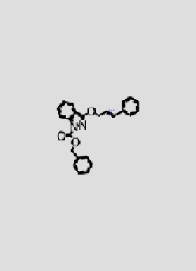 O=C(OCc1ccccc1)n1nc(OC/C=C/c2ccccc2)c2ccccc21